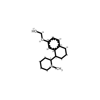 CN1CCCCC1C1CCCc2ccc(OCO)cc21